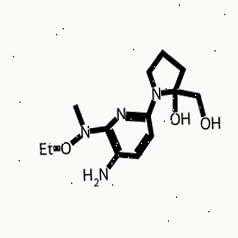 CCON(C)c1nc(N2CCCC2(O)CO)ccc1N